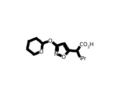 CC(C)C(C(=O)O)c1cc(OC2CCCCO2)no1